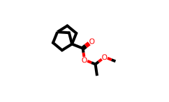 COC(C)OC(=O)C12CCC(CC1)C2